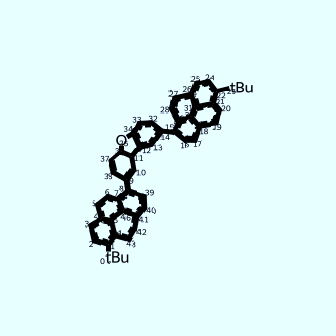 CC(C)(C)c1ccc2ccc3c(C4=CC5c6cc(-c7ccc8ccc9c(C(C)(C)C)ccc%10ccc7c8c%109)ccc6OC5C=C4)ccc4ccc1c2c43